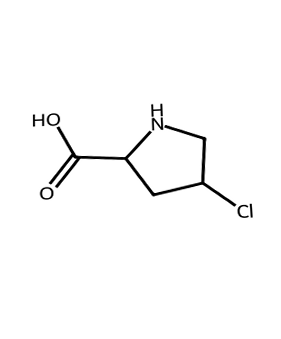 O=C(O)C1CC(Cl)CN1